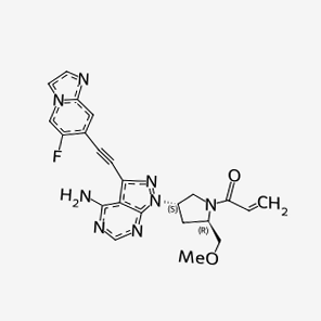 C=CC(=O)N1C[C@@H](n2nc(C#Cc3cc4nccn4cc3F)c3c(N)ncnc32)C[C@@H]1COC